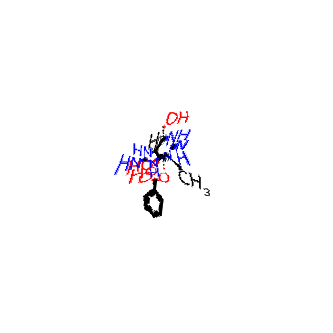 CC[C@@H]1[C@H](OC(=O)c2ccccc2)C(O)(O)[C@]23NC(=N)N[C@H]2[C@H](CO)NC(=N)N13